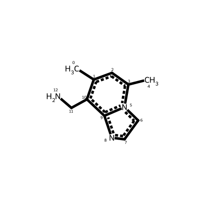 Cc1cc(C)n2ccnc2c1CN